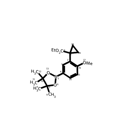 CCOC(=O)C1(c2cc(B3OC(C)(C)C(C)(C)O3)ccc2OC)CC1